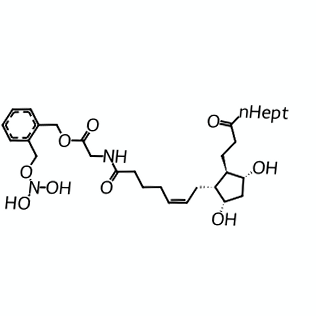 CCCCCCCC(=O)CC[C@@H]1[C@@H](C/C=C\CCCC(=O)NCC(=O)OCc2ccccc2CON(O)O)[C@@H](O)C[C@H]1O